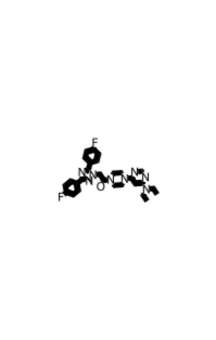 CCN(CC)c1cc(N2CCN(C(=O)Cn3nc(-c4ccc(F)cc4)nc3-c3ccc(F)cc3)CC2)ncn1